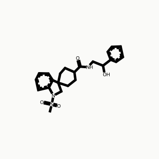 CS(=O)(=O)N1CC2(CCC(C(=O)NCC(O)c3ccccc3)CC2)c2ccccc21